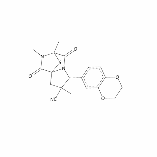 CN1C(=O)C23CC(C)(C#N)C(c4ccc5c(c4)OCCO5)N2C(=O)C1(C)S3